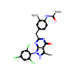 CNC(=O)Nc1ccc(Cc2nc3n(-c4c(Cl)cc(Cl)cc4Cl)[nH]c(C(C)C)c-3c(=O)n2)cc1OC